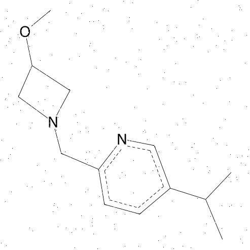 COC1CN(Cc2ccc(C(C)C)cn2)C1